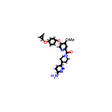 COc1cc(C(=O)N2CCC(c3ccc(N)nn3)CC2)ncc1Oc1ccc(OC2CC2)cc1